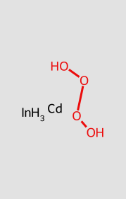 OOOO.[Cd].[InH3]